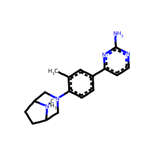 Cc1cc(-c2ccnc(N)n2)ccc1N1CC2CCC(C1)N2C